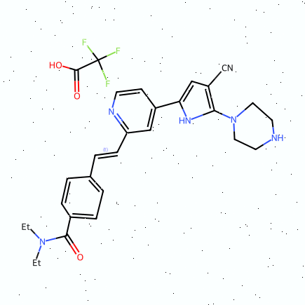 CCN(CC)C(=O)c1ccc(/C=C/c2cc(-c3cc(C#N)c(N4CCNCC4)[nH]3)ccn2)cc1.O=C(O)C(F)(F)F